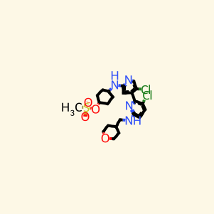 CS(=O)(=O)OC1CCC(Nc2cc(-c3nc(NCC4CCOCC4)ccc3Cl)c(Cl)cn2)CC1